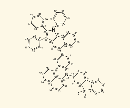 CC1(C)c2ccccc2-c2ccc(N(c3ccc(-c4cc5c(-c6ccccc6)c(-c6ccccc6)n(-c6ccccc6)c5c5ccccc45)cc3)c3cccc4ccccc34)cc21